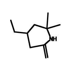 C=C1CC(CC)CC(C)(C)N1